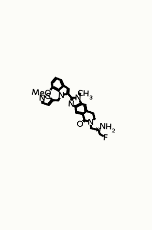 COc1cccc2cc(-c3nc4cc5c(cc4n3C)CCN(C[C@H](N)CF)C5=O)n(Cc3ccns3)c12